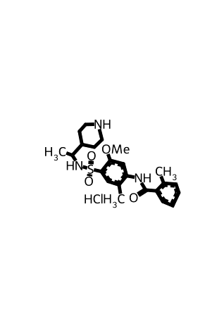 COc1cc(NC(=O)c2ccccc2C)c(C)cc1S(=O)(=O)NC(C)C1CCNCC1.Cl